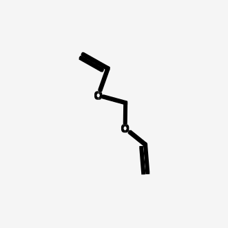 C=COCOC=C